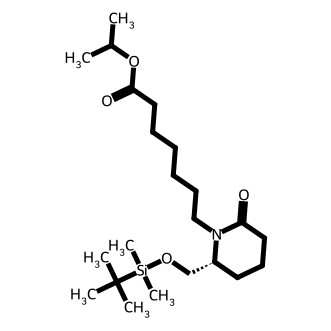 CC(C)OC(=O)CCCCCCN1C(=O)CCC[C@@H]1CO[Si](C)(C)C(C)(C)C